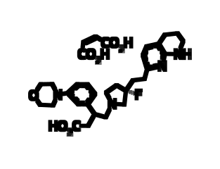 O=C(O)/C=C\C(=O)O.O=C(O)CC(CN1CC[C@@](F)(CCc2ccc3c(n2)NCCC3)C1)c1cccc(N2CCOCC2)c1